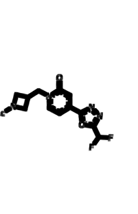 CC(=O)N1CC(Cn2ccc(-c3nnc(C(F)F)o3)cc2=O)C1